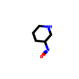 O=NC1CCCNC1